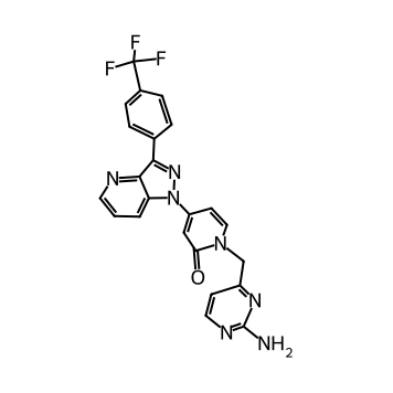 Nc1nccc(Cn2ccc(-n3nc(-c4ccc(C(F)(F)F)cc4)c4ncccc43)cc2=O)n1